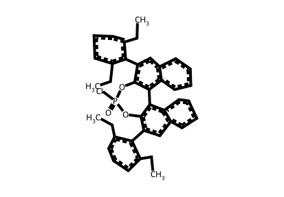 CCc1cccc(CC)c1-c1cc2ccccc2c2c1OP(=O)(Cl)Oc1c(-c3c(CC)cccc3CC)cc3ccccc3c1-2